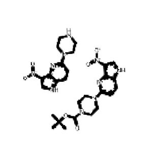 CC(C)(C)OC(=O)N1CCN(c2ccc3[nH]cc([N+](=O)[O-])c3n2)CC1.O=[N+]([O-])c1c[nH]c2ccc(N3CCNCC3)nc12